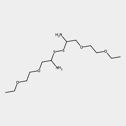 CCOCCOCC(N)SSC(N)COCCOCC